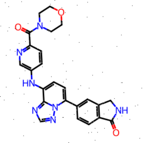 O=C1NCc2cc(-c3ccc(Nc4ccc(C(=O)N5CCOCC5)nc4)c4ncnn34)ccc21